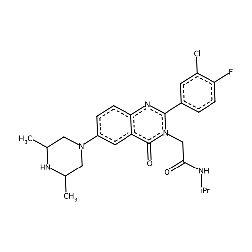 CC(C)NC(=O)Cn1c(-c2ccc(F)c(Cl)c2)nc2ccc(N3CC(C)NC(C)C3)cc2c1=O